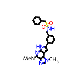 CNc1nc2[nH]c(-c3cccc(CNS(=O)(=O)Cc4ccccc4)c3)cc2c2c1ncn2C